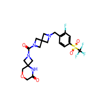 O=C1COCC2(CN(C(=O)N3CC4(CN(Cc5ccc(S(=O)(=O)C(F)(F)F)cc5F)C4)C3)C2)N1